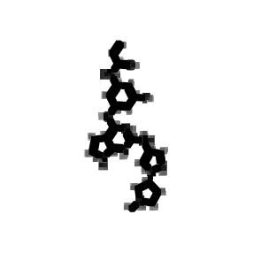 C=CC(=O)Nc1cc(F)cc(Oc2nc(Nc3cnn([C@@H]4CCN(C)C4)c3)nc3[nH]ccc23)c1